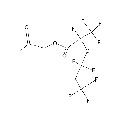 CC(=O)COC(=O)C(F)(OC(F)(F)CC(F)(F)F)C(F)(F)F